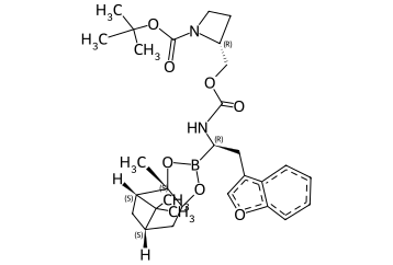 CC(C)(C)OC(=O)N1CC[C@@H]1COC(=O)N[C@@H](Cc1coc2ccccc12)B1OC2C[C@@H]3C[C@@H](C3(C)C)[C@]2(C)O1